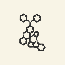 c1ccc(N(c2ccccc2)c2ccc3c(c2)Sc2ccccc2C32c3ccccc3-n3c4ccccc4c4cccc2c43)cc1